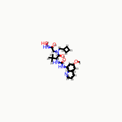 COc1cc(NC(=O)N[C@H](C(=O)N(CC(=O)NO)CC2CCC2)C(C)(C)C)c2ncccc2c1